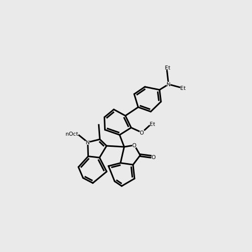 CCCCCCCCn1c(C)c(C2(c3cccc(-c4ccc(N(CC)CC)cc4)c3OCC)OC(=O)c3ccccc32)c2ccccc21